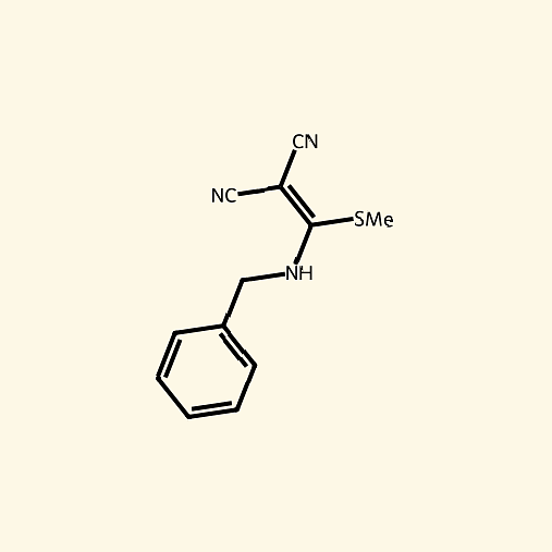 CSC(NCc1ccccc1)=C(C#N)C#N